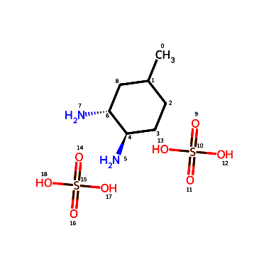 CC1CC[C@@H](N)[C@H](N)C1.O=S(=O)(O)O.O=S(=O)(O)O